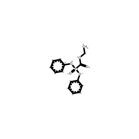 CCOC(=O)P(=O)(Oc1ccccc1)Oc1ccccc1